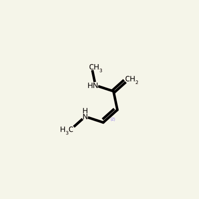 C=C(/C=C\NC)NC